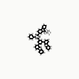 CC1(C)c2ccccc2-c2ccc(-c3nc(-c4ccccc4)nc(-c4cc(-c5cccc6c5sc5ccccc56)cc(-c5cccc6c5sc5ccccc56)c4)n3)cc21